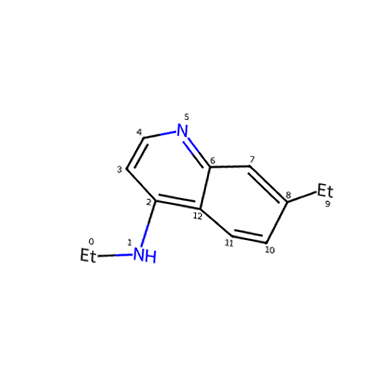 CCNc1ccnc2cc(CC)ccc12